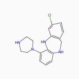 Clc1ccc2c(c1)Nc1c(cccc1N1CCNCC1)NC2